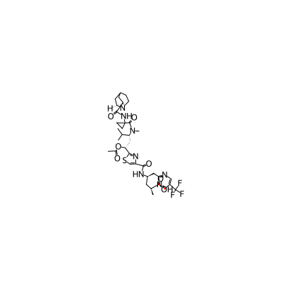 CC(=O)O[C@H](C[C@H](C(C)C)N(C)C(=O)C1(NC(=O)[C@H]2CC3CCN2CC3)CC1)c1nc(C(=O)N[C@@H](Cc2ncc(C(F)(F)F)cn2)C[C@H](C)C(=O)O)cs1